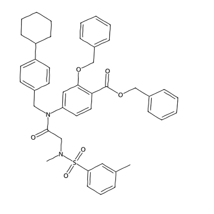 Cc1cccc(S(=O)(=O)N(C)CC(=O)N(Cc2ccc(C3CCCCC3)cc2)c2ccc(C(=O)OCc3ccccc3)c(OCc3ccccc3)c2)c1